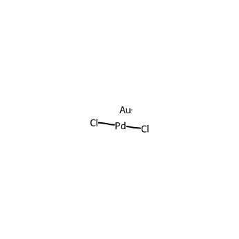 [Au].[Cl][Pd][Cl]